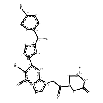 C=C1CN(C(=O)Cn2ccn3c(=O)c(O)c(-c4ncc(C(C)c5ccc(F)cc5)s4)nc23)C[C@H](C)O1